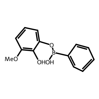 COc1cccc(OB(O)c2ccccc2)c1O